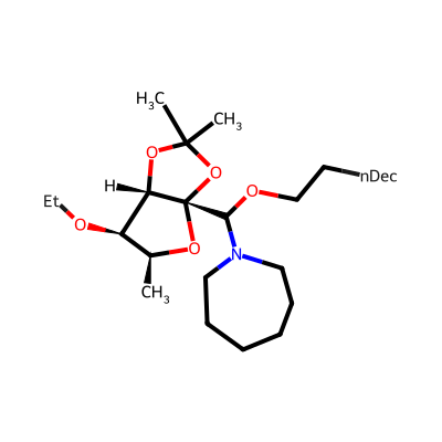 CCCCCCCCCCCCOC(N1CCCCCC1)[C@@]12O[C@@H](C)[C@@H](OCC)[C@@H]1OC(C)(C)O2